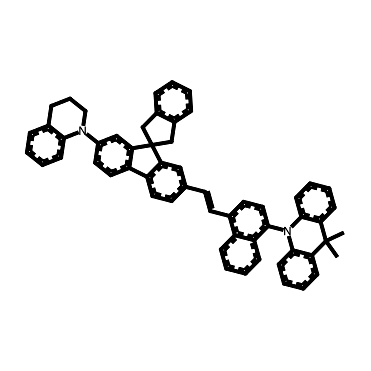 CC1(C)c2ccccc2N(c2ccc(/C=C/c3ccc4c(c3)C3(Cc5ccccc5C3)c3cc(N5CCCc6ccccc65)ccc3-4)c3ccccc23)c2ccccc21